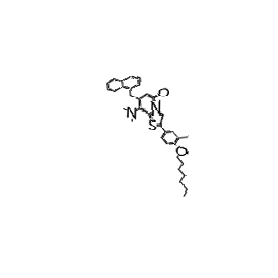 CCCCCCCOc1ccc(-c2cn3c(=O)cc(Cc4cccc5ccccc45)c(N(C)C)c3s2)cc1C